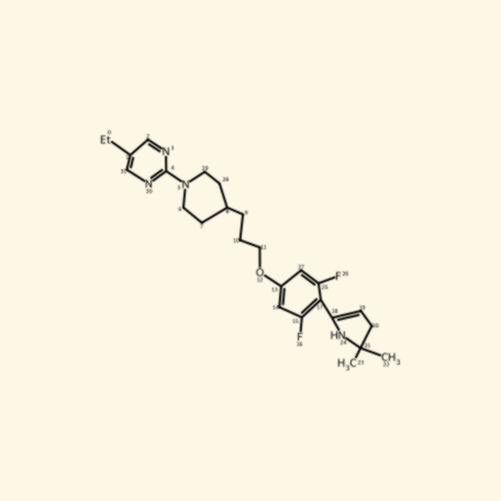 CCc1cnc(N2CCC(CCCOc3cc(F)c(C4=CCC(C)(C)N4)c(F)c3)CC2)nc1